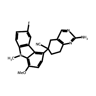 COc1ccc(C2(C#N)CCc3nc(N)ncc3C2)c2c3cc(F)ccc3n(C)c12